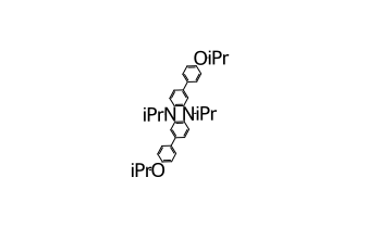 CC(C)Oc1ccc(-c2ccc3c(c2)N(C(C)C)c2ccc(-c4ccc(OC(C)C)cc4)cc2N3C(C)C)cc1